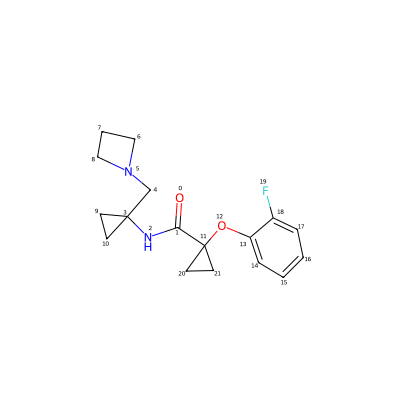 O=C(NC1(CN2CCC2)CC1)C1(Oc2ccccc2F)CC1